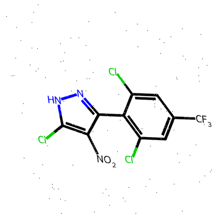 O=[N+]([O-])c1c(-c2c(Cl)cc(C(F)(F)F)cc2Cl)n[nH]c1Cl